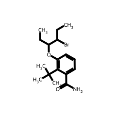 CCC(Br)C(CC)Oc1cccc(C(N)=O)c1C(C)(C)C